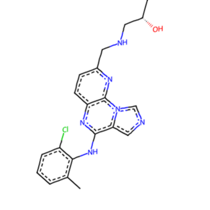 Cc1cccc(Cl)c1Nc1nc2ccc(CNC[C@@H](O)CO)nc2n2cncc12